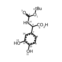 CC(C)(C)OC(=O)NC(C(=O)O)c1ccc(O)c(O)c1